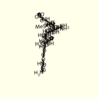 CSCC(=O)N[C@@H](CCCCNC(=O)CCN1C(=O)C=CC1=O)C(=O)N[C@@H](CS)C(=O)N[C@@H](CCCNC(=N)N)[C@@H](O)NC[C@H](O)N[C@@H](CC(=O)O)[C@@H](O)N[C@@H](CS)[C@H](O)N[C@@H](Cc1ccccc1)[C@@H](O)N[C@@H](C)C(=O)NCCOCCOCCOCCNC(=O)COCC(N)=O